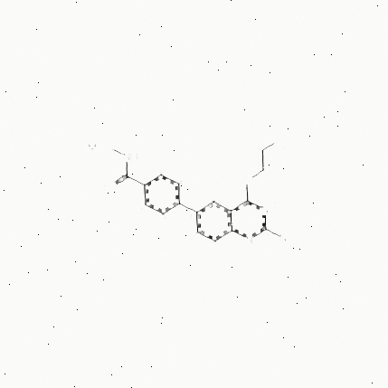 CONC(=O)c1ccc(-c2ccc3nc(N)nc(OCCO)c3c2)cc1